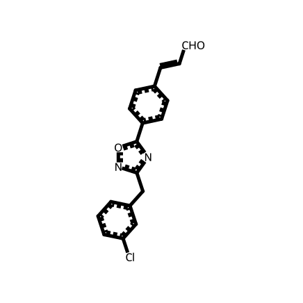 O=C/C=C/c1ccc(-c2nc(Cc3cccc(Cl)c3)no2)cc1